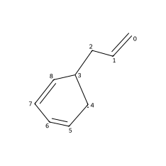 C=CCC1[CH]C=CC=C1